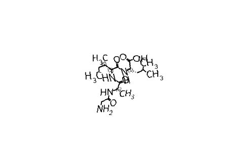 CC[C@H](C)[C@H](NC(=O)[C@H](C)NC(=O)CN)C(=O)N[C@@H](CC(C)C)C(=O)O